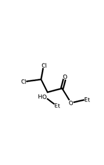 CCO.CCOC(=O)CC(Cl)Cl